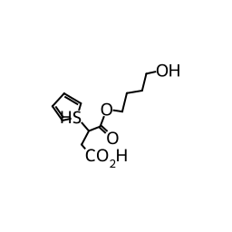 O=C(O)CC(C(=O)OCCCCO)[SH]1C=CC=C1